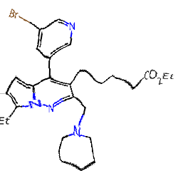 CCOC(=O)CCCCc1c(CN2CCCCC2)nn2c(CC)ccc2c1-c1cncc(Br)c1